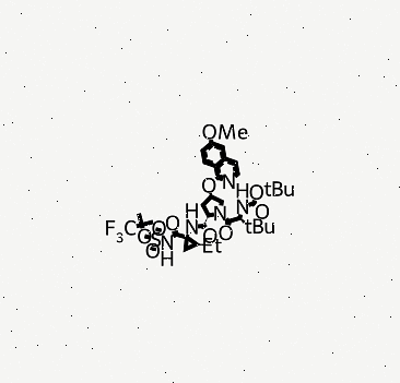 CC[C@@H]1C[C@]1(NC(=O)[C@@H]1C[C@@H](Oc2nccc3cc(OC)ccc23)CN1C(=O)[C@@H](NC(=O)OC(C)(C)C)C(C)(C)C)C(=O)NS(=O)(=O)OC(C)(C)C(F)(F)F